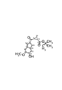 COc1cc2sc(C(=O)[C@H]3C[C@H]3C(=O)OC(C)(C)C)cc2cc1O